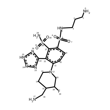 NCCCNS(=O)(=O)c1ccc(N2CCC(CN)C(F)C2)c(-c2nn[nH]n2)c1S(N)(=O)=O